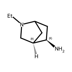 CCN1C[C@H]2CC1C[C@H]2N